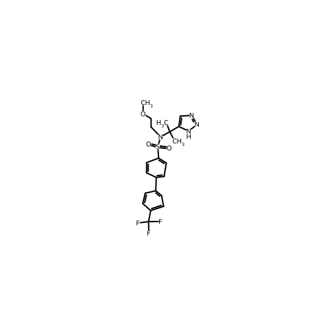 COCCN(C(C)(C)c1cnn[nH]1)S(=O)(=O)c1ccc(-c2ccc(C(F)(F)F)cc2)cc1